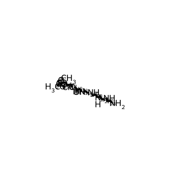 CO[Si](CCCOCC(O)CNCCNCCNCCNCCN)(OC)OC